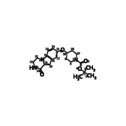 CC(C)(C)OC(=O)N1CCC(Oc2ccc3c(c2)cc2n3CCNC2=O)CC1